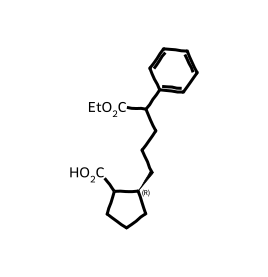 CCOC(=O)C(CCC[C@H]1CCCC1C(=O)O)c1ccccc1